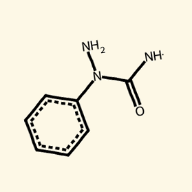 [NH]C(=O)N(N)c1ccccc1